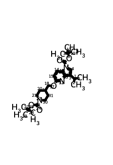 CC(C)c1cn(C(=O)OC(C)(C)C)c2ccc(OCC3CCN(C(=O)OC(C)(C)C)CC3)nc12